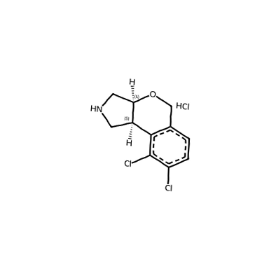 Cl.Clc1ccc2c(c1Cl)[C@H]1CNC[C@H]1OC2